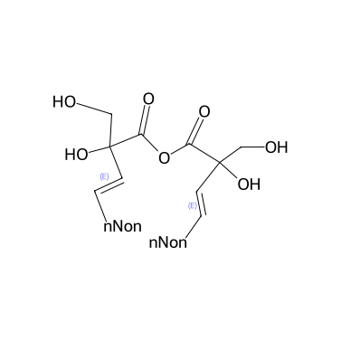 CCCCCCCCC/C=C/C(O)(CO)C(=O)OC(=O)C(O)(/C=C/CCCCCCCCC)CO